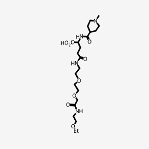 CCOCCNC(=O)COCCOCCNC(=O)CCC(NC(=O)C1CCN(C)CC1)C(=O)O